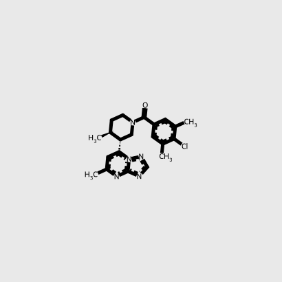 Cc1cc([C@H]2CN(C(=O)c3cc(C)c(Cl)c(C)c3)CC[C@@H]2C)n2ncnc2n1